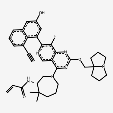 C#Cc1cccc2cc(O)cc(-c3ncc4c(N5CCCC(C)(C)[C@H](NC(=O)C=C)C5)nc(OCC56CCCN5CCC6)nc4c3F)c12